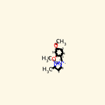 COc1ccc(C[N+]2C=CC(C)=N2)c(OC)c1